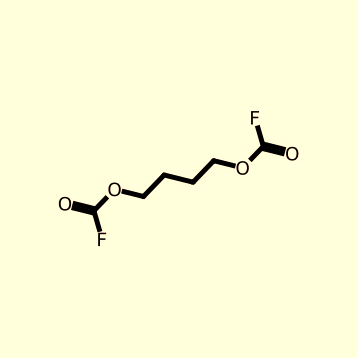 O=C(F)OCCCCOC(=O)F